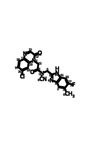 Cc1cc2nc(CN(C#N)C(=O)Cn3c(=O)cnc4ccc(Cl)cc43)[nH]c2cc1F